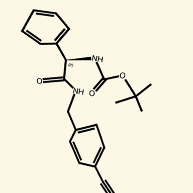 CC(C)(C)OC(=O)N[C@@H](C(=O)NCc1ccc(C#N)cc1)c1ccccc1